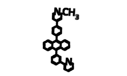 Cc1cc(-c2ccc(-c3c4ccccc4c(-c4cccc(-c5ccccn5)c4)c4ccccc34)cc2)ccn1